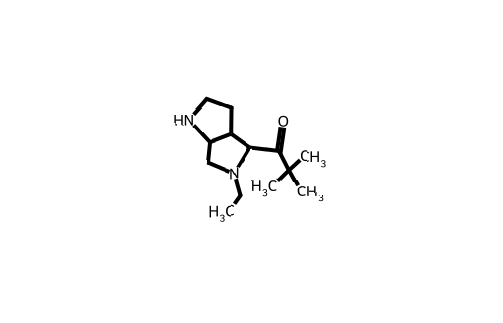 CCN1CC2NCCC2C1C(=O)C(C)(C)C